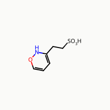 O=S(=O)(O)CCC1=CC=CON1